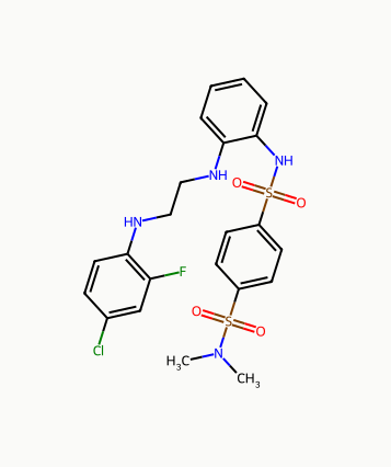 CN(C)S(=O)(=O)c1ccc(S(=O)(=O)Nc2ccccc2NCCNc2ccc(Cl)cc2F)cc1